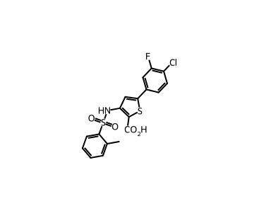 Cc1ccccc1S(=O)(=O)Nc1cc(-c2ccc(Cl)c(F)c2)sc1C(=O)O